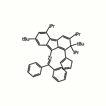 CC(C)C1=CC2=c3c(C(C)C)cc(C(C)(C)C)cc3=[C]([Zr]=[C](c3ccccc3)c3ccccc3)C2=C(C2=CC=CC2)C1(C(C)C)C(C)(C)C